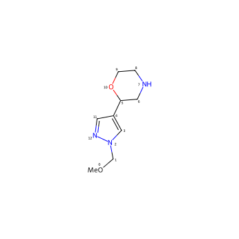 COCn1cc(C2CNCCO2)cn1